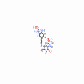 Cn1c(=O)c2c(nc(S(C)(=O)=O)n2C)n(CC#Cc2ccc3c(c2)NC(O)N3)c1=O